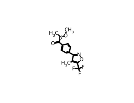 CON(C)C(=O)c1ccc(-c2noc(C(F)(F)F)c2C)cc1